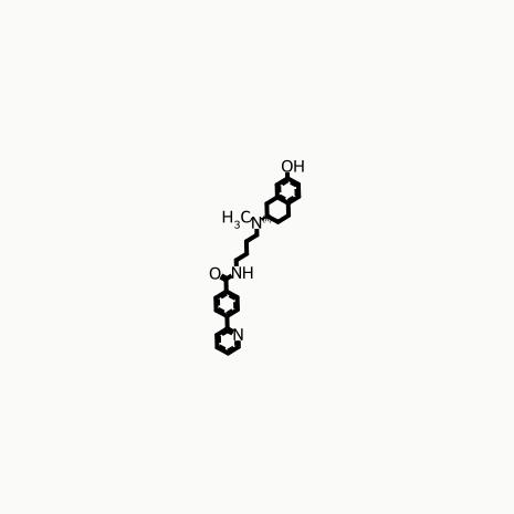 CN(CCCCNC(=O)c1ccc(-c2ccccn2)cc1)[C@@H]1CCc2ccc(O)cc2C1